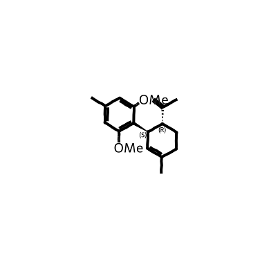 C=C(C)[C@@H]1CCC(C)=C[C@H]1c1c(OC)cc(C)cc1OC